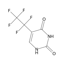 O=c1[nH]cc(C(F)(F)C(F)(F)F)c(=O)[nH]1